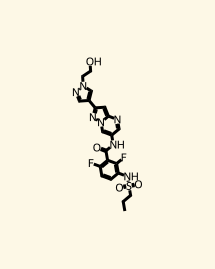 CCCS(=O)(=O)Nc1ccc(F)c(C(=O)Nc2cnc3cc(-c4cnn(CCO)c4)nn3c2)c1F